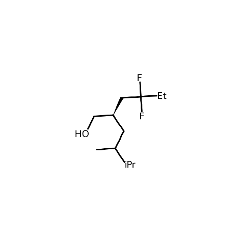 CCC(F)(F)C[C@H](CO)CC(C)C(C)C